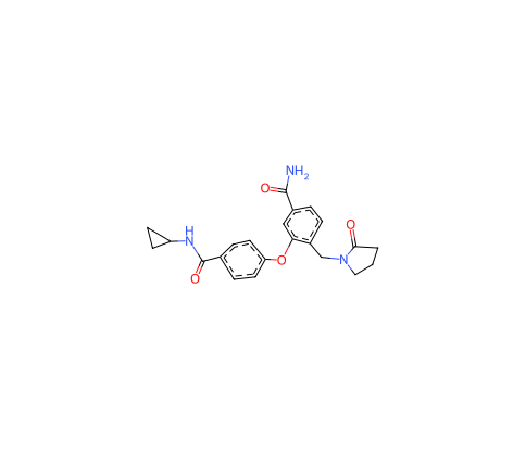 NC(=O)c1ccc(CN2CCCC2=O)c(Oc2ccc(C(=O)NC3CC3)cc2)c1